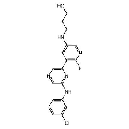 OCCCNc1cnc(F)c(-c2cncc(Nc3cccc(Cl)c3)n2)c1